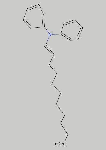 CCCCCCCCCCCCCCCCCCC=CN(c1ccccc1)c1ccccc1